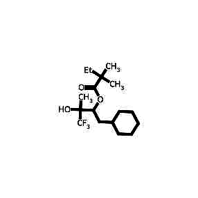 CCC(C)(C)C(=O)OC(CC1CCCCC1)C(C)(O)C(F)(F)F